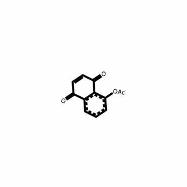 CC(=O)Oc1cccc2c1C(=O)C=CC2=O